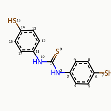 S=C(Nc1ccc(S)cc1)Nc1ccc(S)cc1